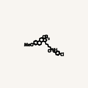 COc1ccc2c(c1)CCC1C2CC[C@]2(C)C(=O)C[C@@H](CCCCC(=O)NCc3ccc(Cl)cc3)C12